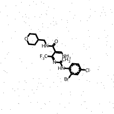 C=C(/N=C(\C(=C/N)C(=O)NCC1CCOCC1)C(F)(F)F)Nc1ccc(Cl)cc1Br